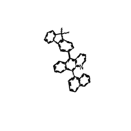 CC1(C)c2ccccc2-c2cc(-c3c4ccccc4c(-c4cccc5ccccc45)c4ncccc34)ccc21